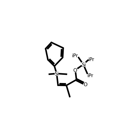 CC(=C[Si](C)(C)c1ccccc1)C(=O)O[Si](C(C)C)(C(C)C)C(C)C